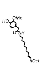 CCCCCCCCC=CCCCCCCCCNC(=O)Cc1ccc(O)c(OC)c1